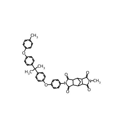 Cc1ccc(Oc2ccc(C(C)(C)c3ccc(Oc4ccc(N5C(=O)C6C7CC(C8C(=O)N(C)C(=O)C78)C6C5=O)cc4)cc3)cc2)cc1